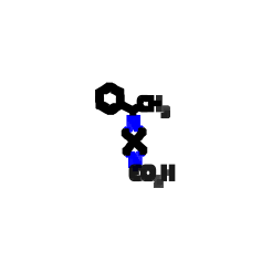 CC(c1ccccc1)N1CC2(CN(C(=O)O)C2)C1